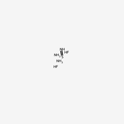 F.F.N.N.N=S